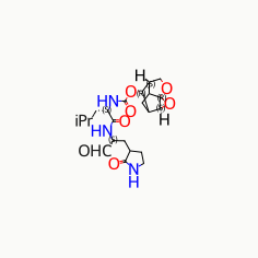 CC(C)C[C@H](NC(=O)O[C@H]1C2CC3[C@H]1CO[C@@]31O[C@@H]21)C(=O)N[C@H](C=O)CC1CCNC1=O